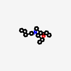 c1ccc(N(c2ccc(-c3cccc4ccccc34)cc2)c2ccc(-c3cccc4c3ccc3ccccc34)cc2)c(-c2ccc3oc4c5ccccc5ccc4c3c2)c1